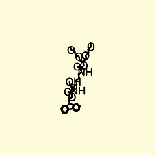 COCCOCC(COCCOC)OC(=O)NCCCC[C@H](CO)NC(=O)OCC1c2ccccc2-c2ccccc21